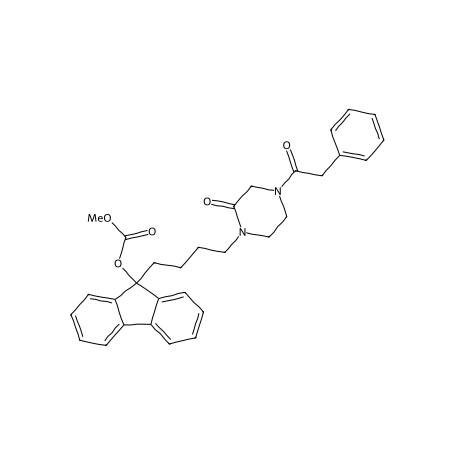 COC(=O)OC1(CCCCN2CCN(C(=O)Cc3ccccc3)CC2=O)c2ccccc2-c2ccccc21